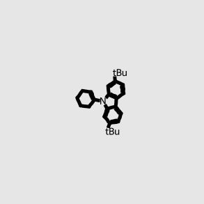 CC(C)(C)c1ccc2c3ccc(C(C)(C)C)cc3n(C3=CCCCC3)c2c1